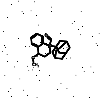 COC1CC[N+](C=O)(C23CC4CC(CC(C4)C2)C3)c2ccccc21